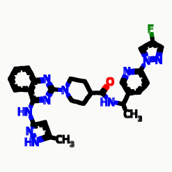 Cc1cc(Nc2nc(N3CCC(C(=O)NC(C)c4ccc(-n5cc(F)cn5)nc4)CC3)nc3ccccc23)n[nH]1